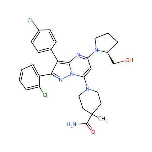 CC1(C(N)=O)CCN(c2cc(N3CCC[C@H]3CO)nc3c(-c4ccc(Cl)cc4)c(-c4ccccc4Cl)nn23)CC1